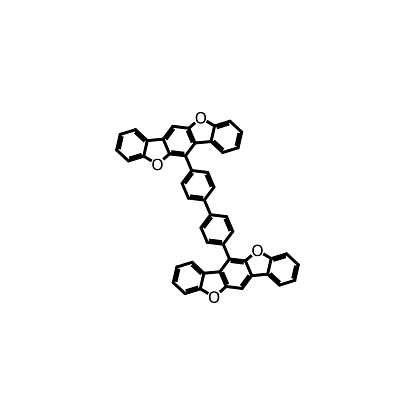 c1ccc2c(c1)oc1c(-c3ccc(-c4ccc(-c5c6oc7ccccc7c6cc6oc7ccccc7c56)cc4)cc3)c3c(cc12)oc1ccccc13